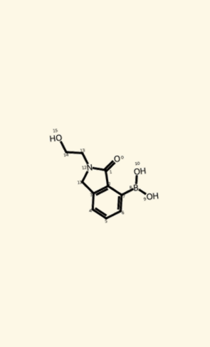 O=C1c2c(cccc2B(O)O)CN1CCO